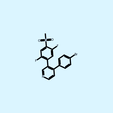 CS(=O)(=O)c1cc(F)c(-c2cnccc2-c2ccc(Br)cc2)cc1F